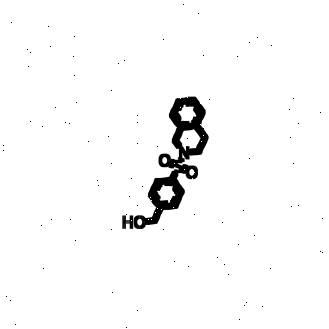 O=S(=O)(c1ccc(CO)cc1)N1CCc2ccccc2C1